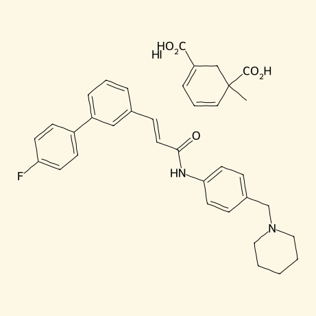 CC1(C(=O)O)C=CC=C(C(=O)O)C1.I.O=C(C=Cc1cccc(-c2ccc(F)cc2)c1)Nc1ccc(CN2CCCCC2)cc1